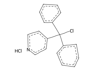 Cl.ClC(c1ccccc1)(c1ccccc1)c1ccncc1